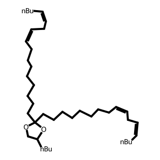 CCCC/C=C\C/C=C\CCCCCCCCC1(CCCCCCCC/C=C\C/C=C\CCCC)OCC(CCCC)O1